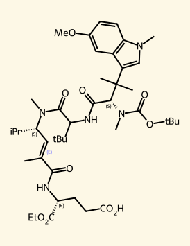 CCOC(=O)[C@@H](CCC(=O)O)NC(=O)/C(C)=C/[C@H](C(C)C)N(C)C(=O)C(NC(=O)[C@@H](N(C)C(=O)OC(C)(C)C)C(C)(C)c1cn(C)c2ccc(OC)cc12)C(C)(C)C